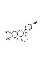 CC(C)c1cc2c(cc1O)[C@@H]1CCCC[C@@H]1[C@H](C1C=CC(O)=CC1)C2